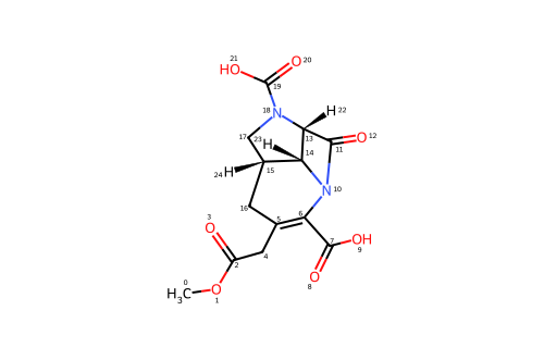 COC(=O)CC1=C(C(=O)O)N2C(=O)[C@@H]3[C@H]2[C@H](C1)CN3C(=O)O